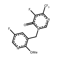 COc1ncc(F)cc1Cn1cnc(C(F)(F)F)c(F)c1=O